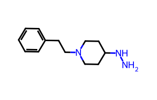 NNC1CCN(CCc2ccccc2)CC1